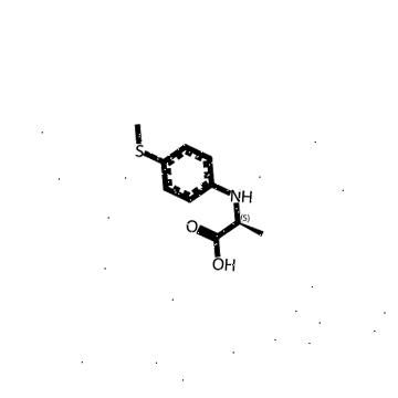 CSc1ccc(N[C@@H](C)C(=O)O)cc1